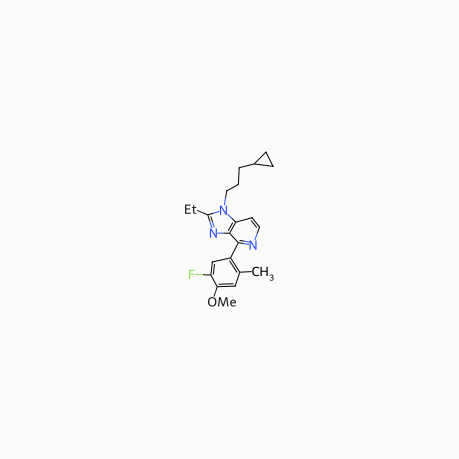 CCc1nc2c(-c3cc(F)c(OC)cc3C)nccc2n1CCCC1CC1